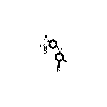 COc1ccc(Oc2ccc(C#N)c(C)c2)cc1[N+](=O)[O-]